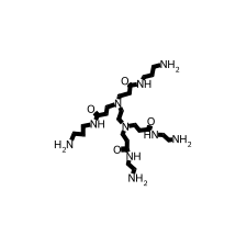 NCCCNC(=O)CCN(CCC(=O)NCCCN)CCN(CCC(=O)NCCN)CCC(=O)NCCN